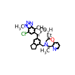 CC[C@@H]1CN(Cc2cc([C@@H](CC(=O)O)c3cc(Cl)c4c(nnn4C)c3C)cc3c2CCC3)[C@@H](C)c2ncccc2O1